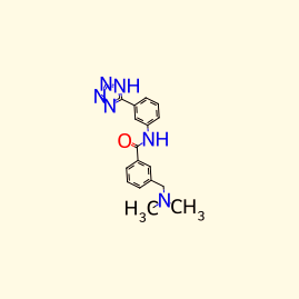 CN(C)Cc1cccc(C(=O)Nc2cccc(-c3nnn[nH]3)c2)c1